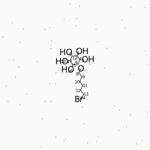 O[C@@H]1[C@@H](O)[C@H](O)[C@H](OCCCCCCBr)[C@H](O)[C@H]1O